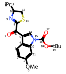 COc1ccc2c(C(=O)C3=NC(C(C)C)CS3)cn(C(=O)OC(C)(C)C)c2c1